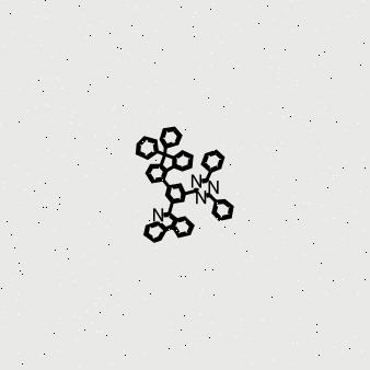 c1ccc(-c2nc(-c3ccccc3)nc(-c3cc(-c4cccc5c4-c4ccccc4C5(c4ccccc4)c4ccccc4)cc(-c4nc5ccccc5c5ccccc45)c3)n2)cc1